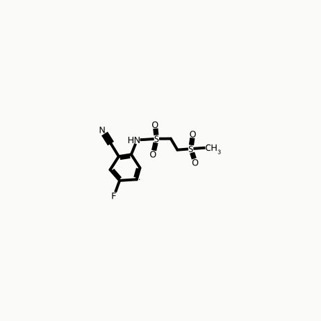 CS(=O)(=O)CCS(=O)(=O)Nc1c[c]c(F)cc1C#N